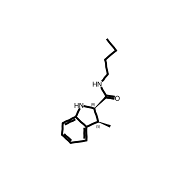 CCCCNC(=O)[C@@H]1Nc2ccccc2[C@@H]1C